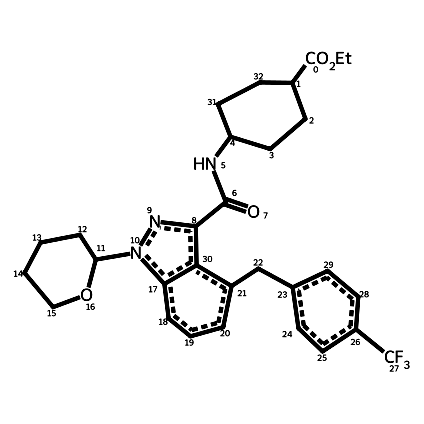 CCOC(=O)C1CCC(NC(=O)c2nn(C3CCCCO3)c3cccc(Cc4ccc(C(F)(F)F)cc4)c23)CC1